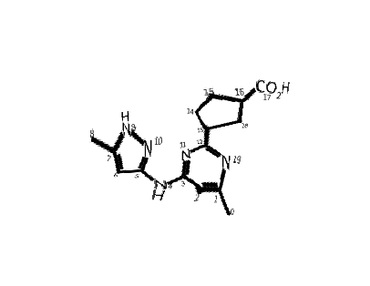 Cc1cc(Nc2cc(C)[nH]n2)nc(C2CCC(C(=O)O)C2)n1